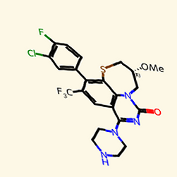 CO[C@H]1CSc2c(-c3ccc(F)c(Cl)c3)c(C(F)(F)F)cc3c(N4CCNCC4)nc(=O)n(c23)C1